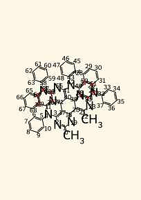 Cc1nc(N(c2ccccc2)c2ccccc2)c2c(n1)c1c(C)nc(N(c3ccccc3)c3ccccc3)nc1c1c(N(c3ccccc3)c3ccccc3)nc(N(c3ccccc3)c3ccccc3)nc21